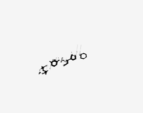 Cc1cc(Nc2nccc(-c3ccc(NC4CCCCC4)nc3)n2)ccc1N1CC2(C)CN(C)CC(C)(C1)C2